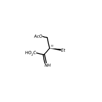 CC[C@H](COC(C)=O)C(=N)C(=O)O